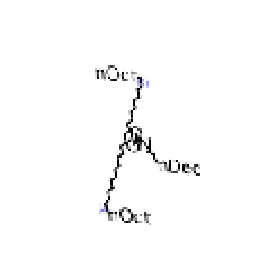 CCCCCCCC/C=C\CCCCCCCCCCC(CCCCCCCCC/C=C\CCCCCCCC)OC(=O)N(C)CCCCCCCCCCCCC